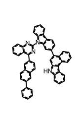 c1ccc(-c2ccc3cc(-c4nc(-n5c6ccccc6c6ccc(-c7cc8[nH]c9ccccc9c8c8ccccc78)cc65)nc5ccccc45)ccc3c2)cc1